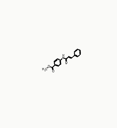 COC(=O)c1ccc(NC(=O)C=Cc2ccccc2)cc1